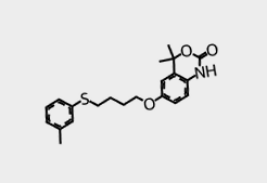 Cc1cccc(SCCCCOc2ccc3c(c2)C(C)(C)OC(=O)N3)c1